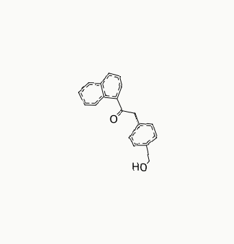 O=C(Cc1ccc(CO)cc1)c1cccc2ccccc12